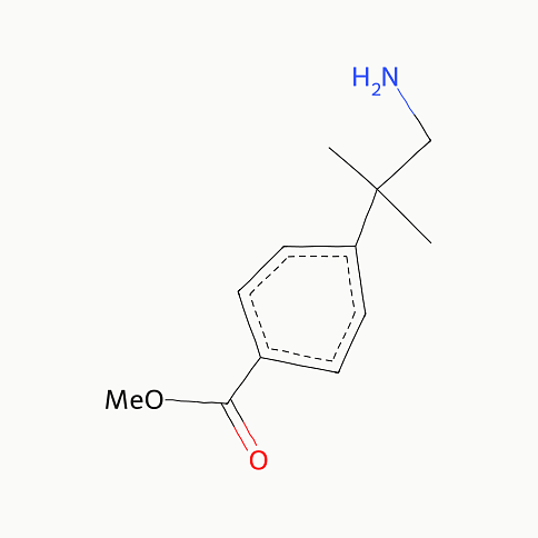 COC(=O)c1ccc(C(C)(C)CN)cc1